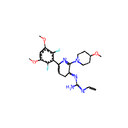 C=C/N=C(N)\N=C1/CC=C(c2c(F)c(OC)cc(OC)c2F)N=C1N1CCC(OC)CC1